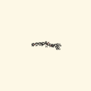 CC1(NC(=O)OC(C)(C)C)CCN(c2cnc(Sc3cccc(NC(=O)c4ccc(N5CCC(N6CC=C(c7cccnc7)CC6)CC5)c(F)c4)c3)cn2)CC1